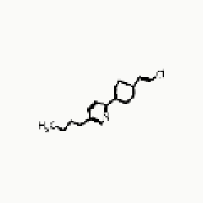 CCCCc1ccc(C2CCC(/C=C/Cl)CC2)nc1